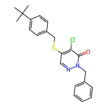 CC(C)(C)c1ccc(CSc2cnn(Cc3ccccc3)c(=O)c2Cl)cc1